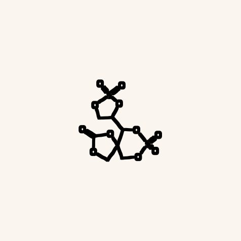 O=C1OCC2(COS(=O)(=O)OC2C2COS(=O)(=O)O2)O1